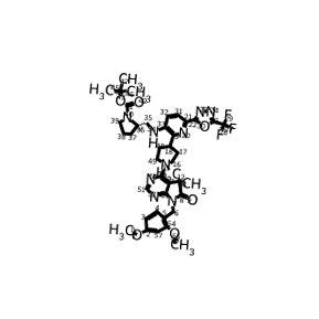 COc1ccc(CN2C(=O)C(C)(C)c3c(N4CCC(c5nc(-c6nnc(C(F)(F)F)o6)ccc5NC[C@@H]5CCCN5C(=O)OC(C)(C)C)CC4)ncnc32)c(OC)c1